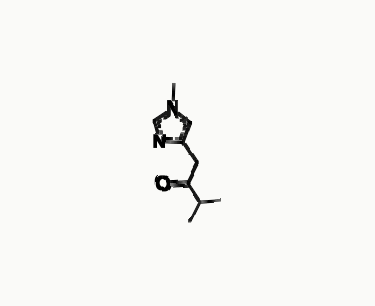 CC(C)C(=O)Cc1cn(C)cn1